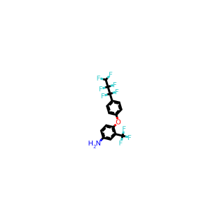 Nc1ccc(Oc2ccc(C(F)(F)C(F)(F)C(F)F)cc2)c(C(F)(F)F)c1